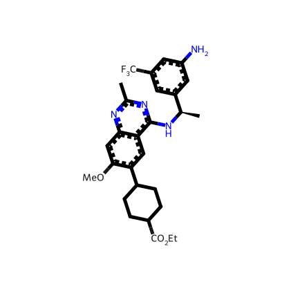 CCOC(=O)C1CCC(c2cc3c(N[C@H](C)c4cc(N)cc(C(F)(F)F)c4)nc(C)nc3cc2OC)CC1